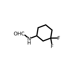 O=CNC1CCCC(F)(F)C1